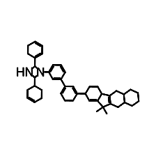 CC1(C)C2=CC(C3=CC(c4cccc(N5C(C6=CC=CCC6)NC5C5CC=CCC5)c4)=CCC3)CCC2C2=C1CC1CCCCC1C2